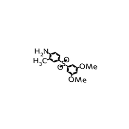 COc1cc(OC)cc(S(=O)(=O)c2ccc(N)c(C)c2)c1